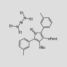 CCCCCC1=C(c2cccc(C)c2)[N+](=[N-])C(c2cccc(C)c2)=C1CCCC.CC[N](CC)[Ni][N](CC)CC